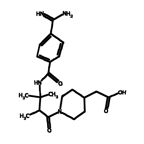 CC(C(=O)N1CCC(CC(=O)O)CC1)C(C)(C)NC(=O)c1ccc(C(=N)N)cc1